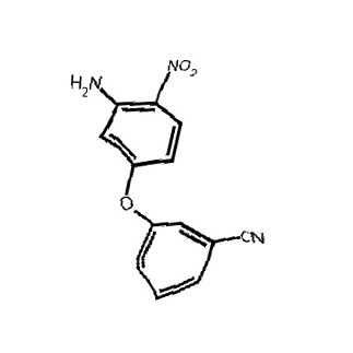 N#Cc1cccc(Oc2ccc([N+](=O)[O-])c(N)c2)c1